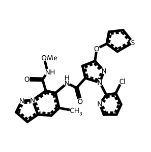 CONC(=O)c1c(NC(=O)c2cc(Oc3ccsc3)nn2-c2ncccc2Cl)c(C)cc2ccnn12